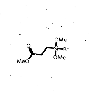 COC(=O)CC[Si](Br)(OC)OC